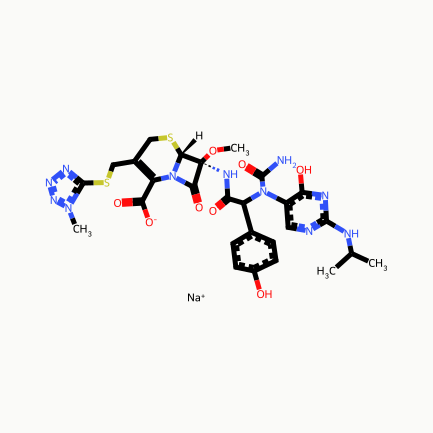 CO[C@@]1(NC(=O)C(c2ccc(O)cc2)N(C(N)=O)c2cnc(NC(C)C)nc2O)C(=O)N2C(C(=O)[O-])=C(CSc3nnnn3C)CS[C@@H]21.[Na+]